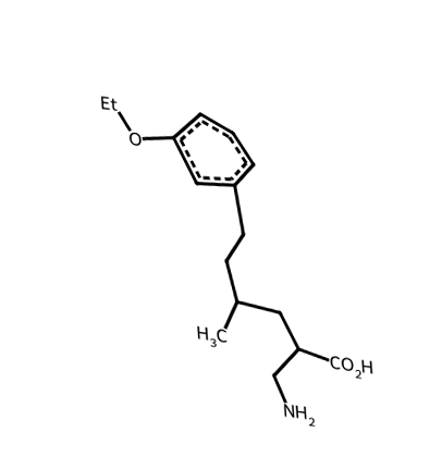 CCOc1cccc(CCC(C)CC(CN)C(=O)O)c1